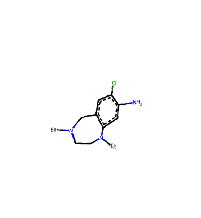 CCN1CCN(CC)c2cc(N)c(Cl)cc2C1